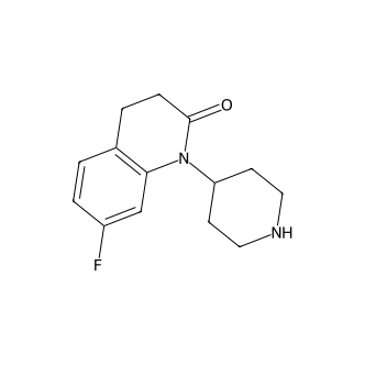 O=C1CCc2ccc(F)cc2N1C1CCNCC1